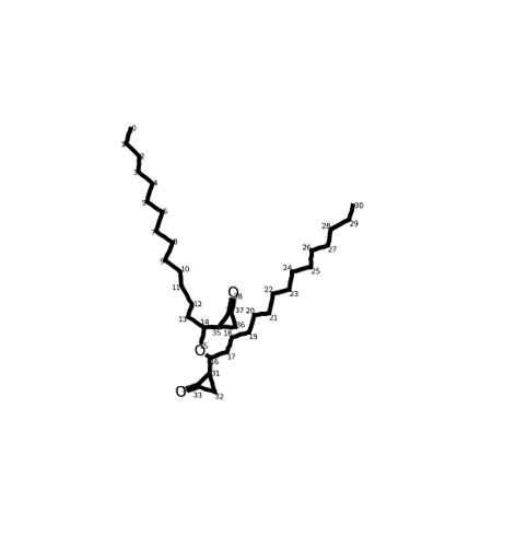 CCCCCCCCCCCCCCC(OC(CCCCCCCCCCCCCC)C1CC1=O)C1CC1=O